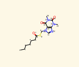 CCCCCCC(=O)SCn1cnc2c1c(=O)n(C)c(=O)n2C